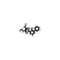 CCCc1oc(-c2cccc(-c3ccccc3)c2C)nc1CC